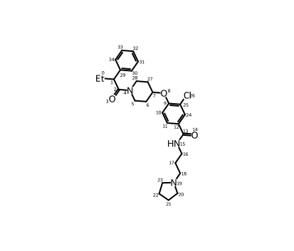 CCC(C(=O)N1CCC(Oc2ccc(C(=O)NCCCN3CCCC3)cc2Cl)CC1)c1ccccc1